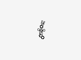 C[C@@H]1C(=O)N(c2ccc(SC(F)(F)F)cc2)C(=O)N1Cc1ccc2ccccc2n1